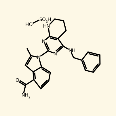 Cc1cc2c(C(N)=O)cccc2n1-c1nc2c(c(NCc3ccccc3)n1)CCCN2.O=S(=O)(O)O